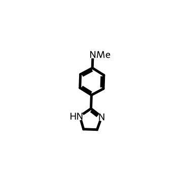 CNc1ccc(C2=NCCN2)cc1